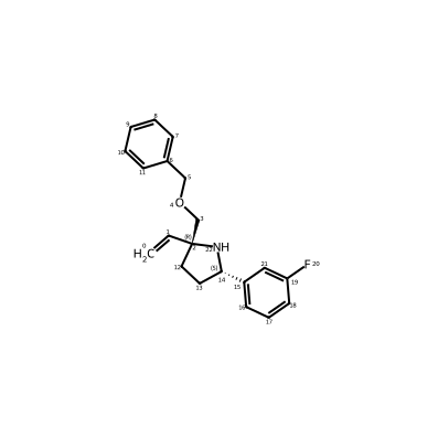 C=C[C@@]1(COCc2ccccc2)CC[C@@H](c2cccc(F)c2)N1